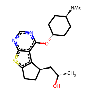 CN[C@H]1CC[C@H](Oc2ncnc3sc4c(c23)[C@@H](C[C@H](C)O)CC4)CC1